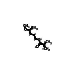 C=C(C)C(=O)OCCCC([SiH3])OC